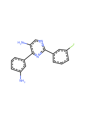 Nc1cccc(-c2nc(-c3cccc(F)c3)ncc2N)c1